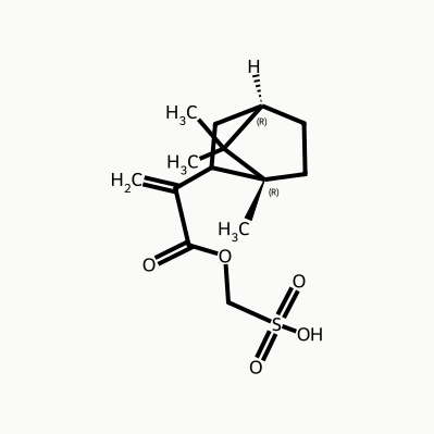 C=C(C(=O)OCS(=O)(=O)O)C1C[C@H]2CC[C@@]1(C)C2(C)C